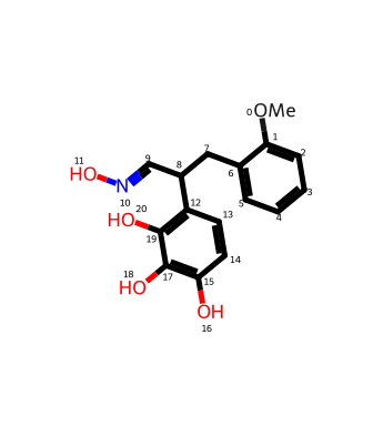 COc1ccccc1CC(C=NO)c1ccc(O)c(O)c1O